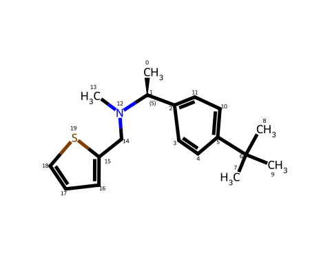 C[C@@H](c1ccc(C(C)(C)C)cc1)N(C)Cc1cccs1